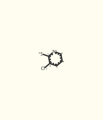 [S]c1ncccc1Cl